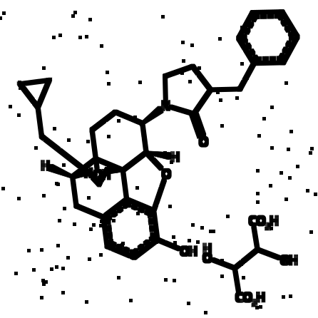 O=C(O)C(O)C(O)C(=O)O.O=C1C(Cc2ccccc2)CCN1[C@@H]1CCC2(O)[C@H]3Cc4ccc(O)c5c4[C@@]2(CCN3CC2CC2)[C@H]1O5